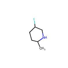 CC1CCC(F)CN1